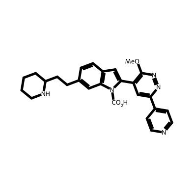 COc1nnc(-c2ccncc2)cc1-c1cc2ccc(CCC3CCCCN3)cc2n1C(=O)O